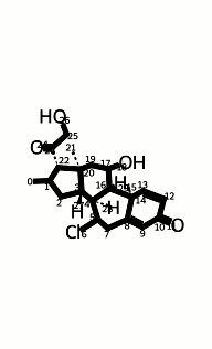 CC1C[C@H]2[C@@H]3C(Cl)CC4=CC(=O)C=C[C@]4(C)[C@H]3C(O)C[C@]2(C)[C@H]1C(=O)CO